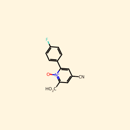 N#Cc1cc(C(=O)O)[n+]([O-])c(-c2ccc(F)cc2)c1